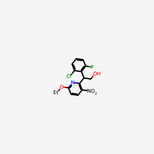 CCOc1ccc([N+](=O)[O-])c(C(CO)c2c(F)cccc2Cl)n1